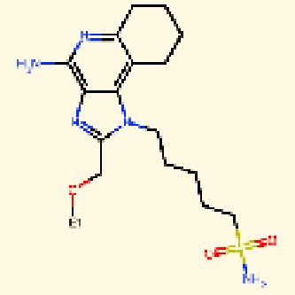 CCOCc1nc2c(N)nc3c(c2n1CCCCCS(N)(=O)=O)CCCC3